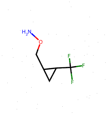 NOCC1CC1C(F)(F)F